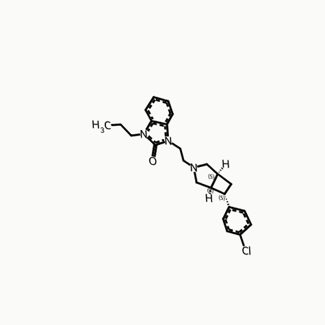 CCCn1c(=O)n(CCN2C[C@H]3C[C@H](c4ccc(Cl)cc4)[C@H]3C2)c2ccccc21